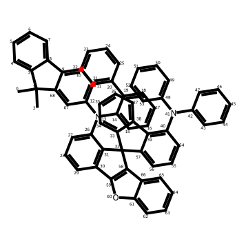 CC1(C)c2ccccc2-c2ccc(N(c3ccccc3-c3ccccc3)c3cccc4c3C3(c5ccccc5-c5c(N(c6ccccc6)c6ccccc6)cccc53)c3c-4oc4ccccc34)cc21